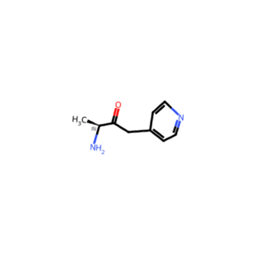 C[C@H](N)C(=O)Cc1ccncc1